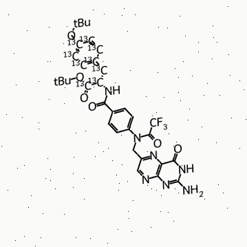 CC(C)(C)O[13C](=O)[13C@H]([13CH2][13c]1[13cH][13cH][13c](OC(C)(C)C)[13cH][13cH]1)NC(=O)c1ccc(N(Cc2cnc3nc(N)[nH]c(=O)c3n2)C(=O)C(F)(F)F)cc1